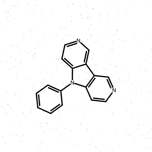 c1ccc(-n2c3ccncc3c3cnccc32)cc1